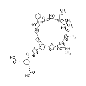 CNC(=O)C[C@@H]1NC(=O)c2csc(n2)-c2ccc(-c3nc(NC(=O)C4C[C@@H](CCC(=O)O)C[C@@H](CCC(=O)O)C4)cs3)nc2-c2csc(n2)-c2csc(n2)[C@H]([C@@H](O)c2ccccc2)NC(=O)CNC(=O)c2nc(sc2COC)C(C(C)C)NC(=O)c2nc1sc2C